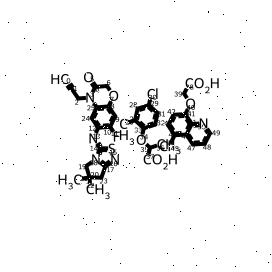 C#CCN1C(=O)COc2cc(F)c(/N=c3\snc4n3CC(C)(C)C4)cc21.Cc1cc(Cl)ccc1OC(C)C(=O)O.O=C(O)COc1ccc(Cl)c2cccnc12